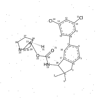 CC1(C)Cc2ccc(-c3cc(Cl)cc(Cl)c3)cc2C1NC(=O)O[C@H]1CN2CCC1CC2